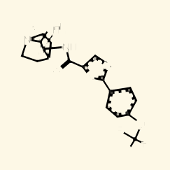 C[C@H]1[C@H](NC(=O)c2cnc(-c3ccc(OC(F)(F)F)cc3)s2)C2CCN1CC2